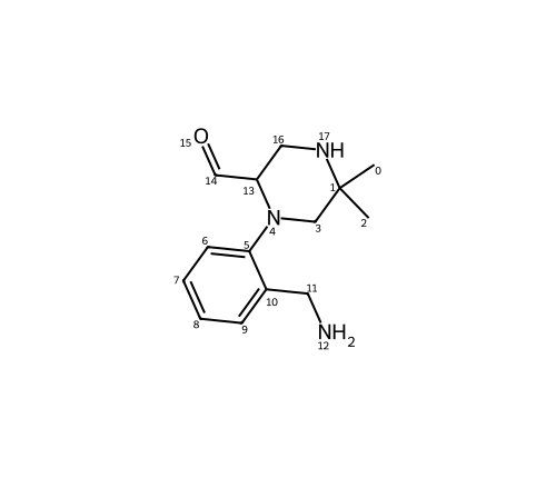 CC1(C)CN(c2ccccc2CN)C(C=O)CN1